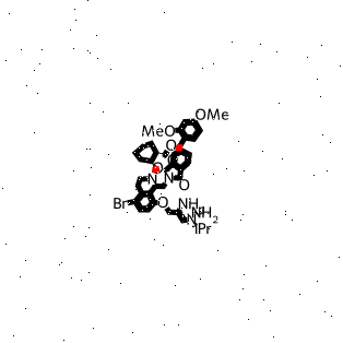 COc1ccc(COC(=O)[C@H]2CCCC[C@H]2C(=O)N2CCc3c(Br)ccc(OC/C(N)=C/N(N)C(C)C)c3C2CN2Cc3ccccc3C2=O)c(OC)c1